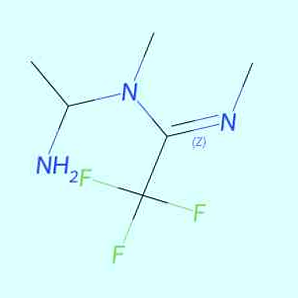 C/N=C(\N(C)C(C)N)C(F)(F)F